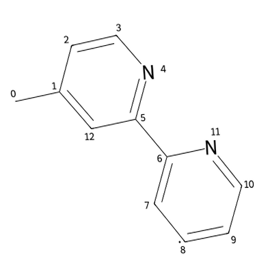 Cc1ccnc(-c2c[c]ccn2)c1